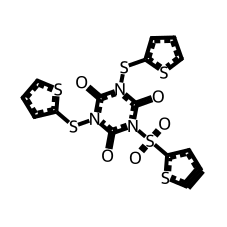 O=c1n(Sc2cccs2)c(=O)n(S(=O)(=O)c2cc#cs2)c(=O)n1Sc1cccs1